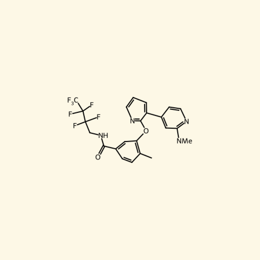 CNc1cc(-c2cccnc2Oc2cc(C(=O)NCC(F)(F)C(F)(F)C(F)(F)F)ccc2C)ccn1